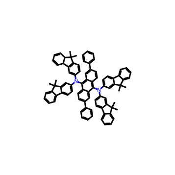 CC1(C)c2ccccc2-c2ccc(N(c3ccc4c(c3)C3C=CC=CC3C4(C)C)c3c4ccc(-c5ccccc5)cc4c(N(c4ccc5c(c4)C(C)(C)c4ccccc4-5)c4ccc5c(c4)C(C)(C)c4ccccc4-5)c4ccc(-c5ccccc5)cc34)cc21